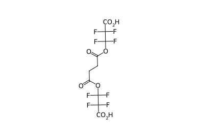 O=C(CCC(=O)OC(F)(F)C(F)(F)C(=O)O)OC(F)(F)C(F)(F)C(=O)O